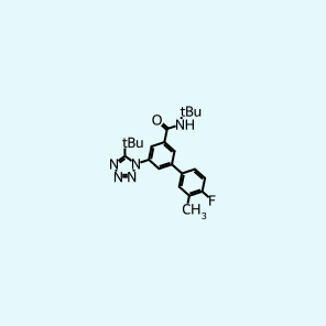 Cc1cc(-c2cc(C(=O)NC(C)(C)C)cc(-n3nnnc3C(C)(C)C)c2)ccc1F